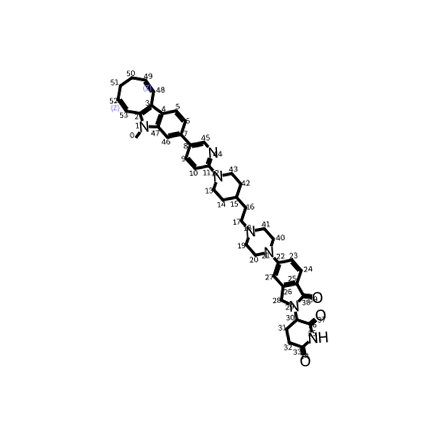 Cn1c2c(c3ccc(-c4ccc(N5CCC(CCN6CCN(c7ccc8c(c7)CN(C7CCC(=O)NC7=O)C8=O)CC6)CC5)nc4)cc31)/C=C\CC/C=C\2